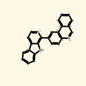 [c]1c(-c2nccc3c2[nH]c2ccccc23)ccc2ncc3ccccc3c12